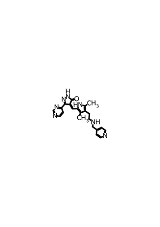 Cc1[nH]c(C=C2C(=O)NN=C2c2ccncn2)c(C)c1CCNCc1ccncc1